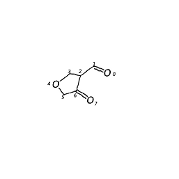 O=CC1COCC1=O